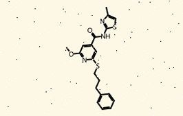 COc1cc(C(=O)Nc2nc(C)cs2)cc(SCCCc2ccccc2)n1